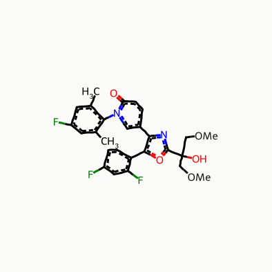 COCC(O)(COC)c1nc(-c2ccc(=O)n(-c3c(C)cc(F)cc3C)c2)c(-c2ccc(F)cc2F)o1